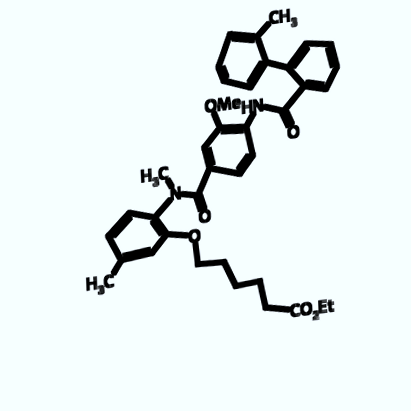 CCOC(=O)CCCCCOc1cc(C)ccc1N(C)C(=O)c1ccc(NC(=O)c2ccccc2-c2ccccc2C)c(OC)c1